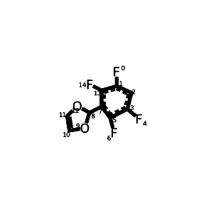 Fc1cc(F)c(F)c(C2OC=CO2)c1F